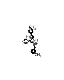 Cc1cccc(/C=N/NC2CC(N3CCOCC3)N3NC(C4CCN(C)CC4)CC3N2)c1